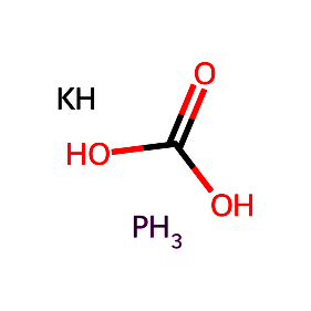 O=C(O)O.P.[KH]